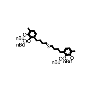 CCCCOOc1c(CCCCSCCCCc2ccc(C)c(OCCCC)c2OOCCCC)ccc(C)c1OCCCC